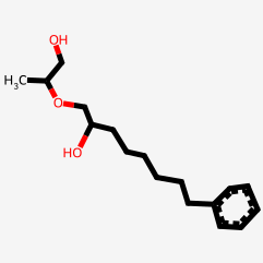 CC(CO)OCC(O)CCCCCCc1ccccc1